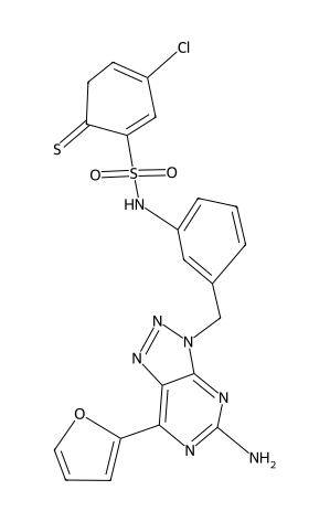 Nc1nc(-c2ccco2)c2nnn(Cc3cccc(NS(=O)(=O)C4=CC(Cl)=CCC4=S)c3)c2n1